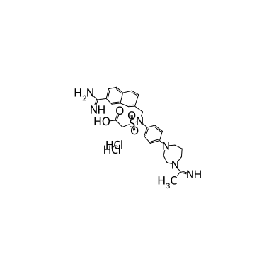 CC(=N)N1CCCN(c2ccc(N(Cc3ccc4ccc(C(=N)N)cc4c3)S(=O)(=O)CC(=O)O)cc2)CC1.Cl.Cl